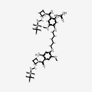 COc1cc(C(=O)N2CC[C@H]2CO[Si](C)(C)C(C)(C)C)c(N)cc1OCCCCCOc1cc(NC(=O)O)c(C(=O)N2CC[C@H]2CO[Si](C)(C)C(C)(C)C)cc1OC